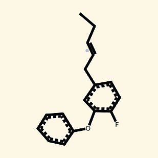 CC/C=C/Cc1ccc(F)c(Oc2ccccc2)c1